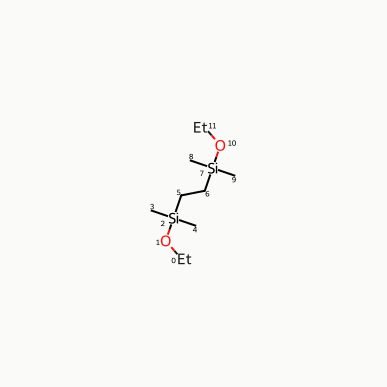 CCO[Si](C)(C)CC[Si](C)(C)OCC